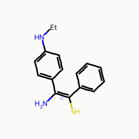 CCNc1ccc(/C(N)=C(/S)c2ccccc2)cc1